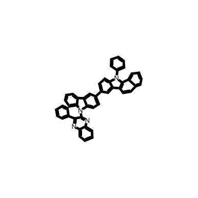 c1ccc(-c2nc3ccccc3nc2-n2c3ccccc3c3cc(-c4ccc5c(c4)c4ccc6ccccc6c4n5-c4ccccc4)ccc32)cc1